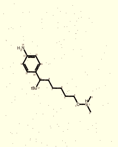 C[SiH](C)OCCCCCC(c1ccc(N)cc1)C(C)(C)C